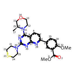 COC(=O)c1cc(-c2ccc3c(N4CCOC[C@@H]4C)nc(N4CCSCC4)nc3n2)ccc1OC